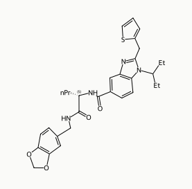 CCC[C@H](NC(=O)c1ccc2c(c1)nc(Cc1cccs1)n2C(CC)CC)C(=O)NCc1ccc2c(c1)OCO2